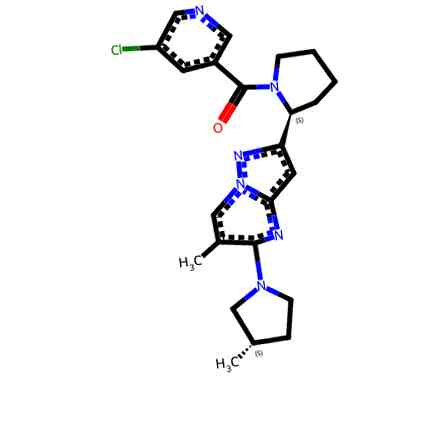 Cc1cn2nc([C@@H]3CCCCN3C(=O)c3cncc(Cl)c3)cc2nc1N1CC[C@H](C)C1